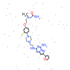 CN(CCOc1ccc(N2CCN(CCNc3nc(N)n4nc(-c5ccco5)cc4n3)CC2)c(F)c1)CC(N)=O